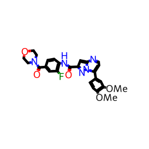 COc1ccc(-c2ccnc3cc(C(=O)Nc4ccc(C(=O)N5CCOCC5)cc4F)nn23)cc1OC